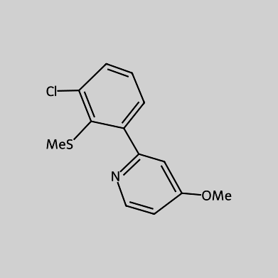 COc1ccnc(-c2cccc(Cl)c2SC)c1